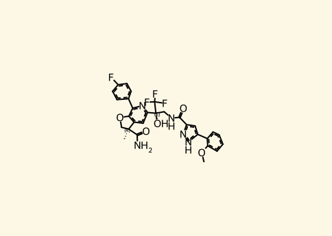 COc1ccccc1-c1cc(C(=O)NC[C@](O)(c2cc3c(c(-c4ccc(F)cc4)n2)OC[C@]3(C)C(N)=O)C(F)(F)F)n[nH]1